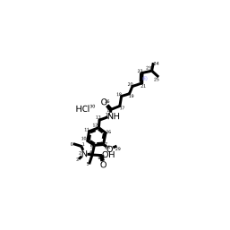 CCN(C)C(C)(C(=O)O)c1ccc(CNC(=O)CCCC/C=C/C(C)C)cc1OC.Cl